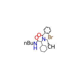 C#CCN(C(=O)c1ccccc1Br)C(C(=O)NCCCC)C1CCCCC1